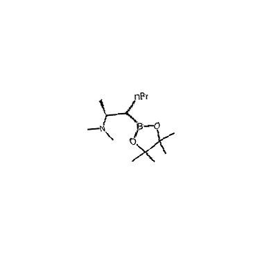 CCCC(B1OC(C)(C)C(C)(C)O1)[C@H](C)N(C)C